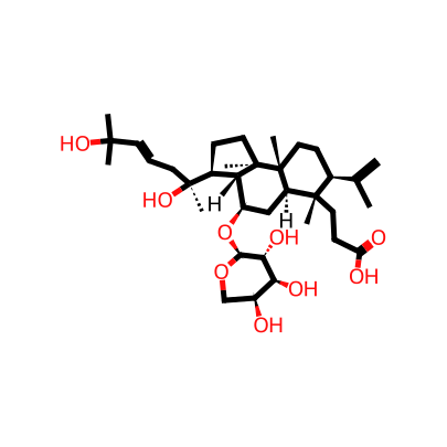 C=C(C)[C@@H]1CC[C@]2(C)[C@H](C[C@@H](O[C@@H]3OC[C@H](O)[C@H](O)[C@H]3O)[C@@H]3[C@@H]([C@@](C)(O)C/C=C/C(C)(C)O)CC[C@]32C)[C@@]1(C)CCC(=O)O